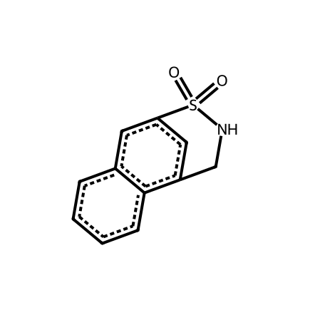 O=S1(=O)NCc2cc1cc1ccccc21